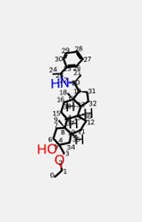 CCOC[C@@]1(O)CC[C@@]2(C)[C@H](CC[C@@H]3[C@@H]2CC[C@]2(C)[C@@H]([C@H](C)N[C@@H](C)c4ccccc4)CC[C@@H]32)C1